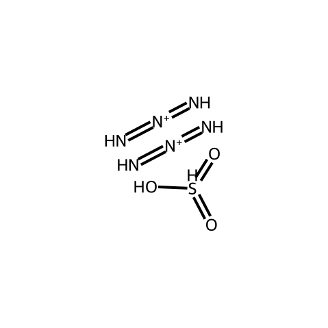 N=[N+]=N.N=[N+]=N.O=[SH](=O)O